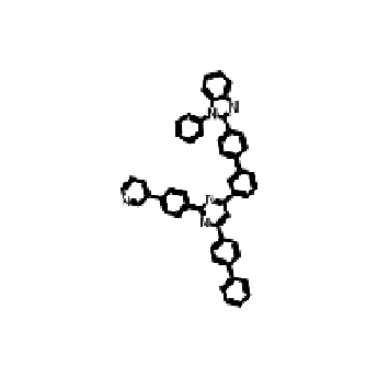 c1ccc(-c2ccc(-c3cc(-c4cccc(-c5ccc(-c6nc7ccccc7n6-c6ccccc6)cc5)c4)nc(-c4ccc(-c5cccnc5)cc4)n3)cc2)cc1